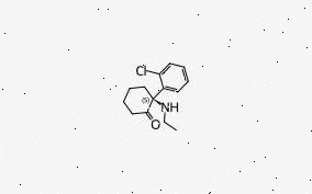 CCN[C@]1(c2ccccc2Cl)CCCCC1=O